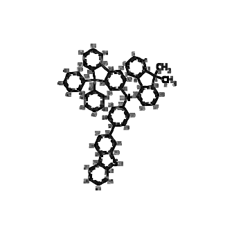 CC1(C)c2ccccc2-c2c(N(c3ccc(-c4ccc5c(c4)sc4ccccc45)cc3)c3ccc4c(c3)C(c3ccccc3)(c3ccccc3)c3ccccc3-4)cccc21